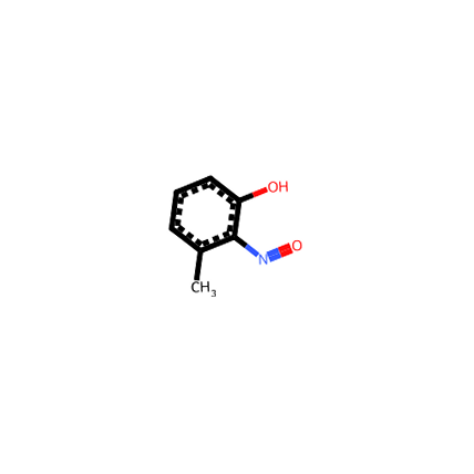 Cc1cccc(O)c1N=O